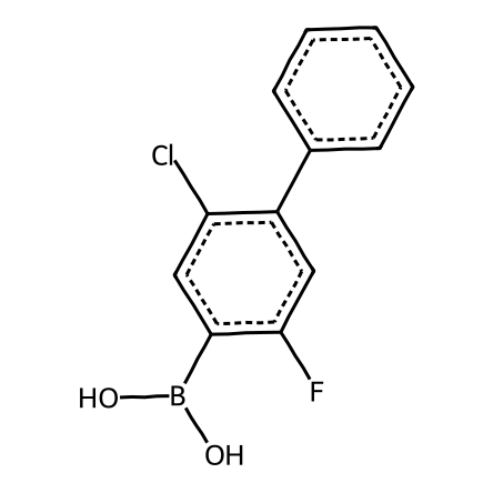 OB(O)c1cc(Cl)c(-c2ccccc2)cc1F